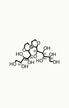 OC[C@@H](O)[C@@H](O)[C@H](O)[C@@H](O[C@@H](C1OCCO1)[C@@H](O)[C@H](O)[C@H](O)CO)C1OCCO1